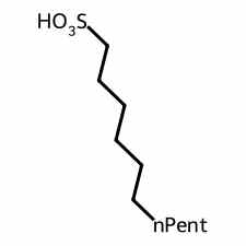 C[CH]CCCCCCCCCS(=O)(=O)O